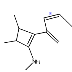 C=C(/C=C\C)C1=C(NC)C(C)C1C